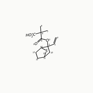 C=CC1(OC(=O)C(C)(C)C(=O)O)CC2CCC1S2